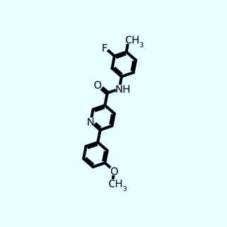 COc1cccc(-c2ccc(C(=O)Nc3ccc(C)c(F)c3)cn2)c1